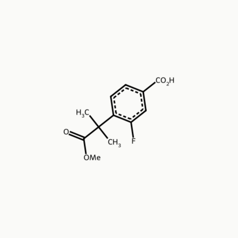 COC(=O)C(C)(C)c1ccc(C(=O)O)cc1F